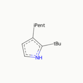 CCCC(C)c1cc[nH]c1C(C)(C)C